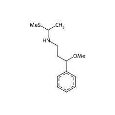 COC(CCNC(C)SC)c1ccccc1